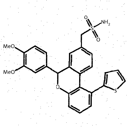 COc1ccc(C2Oc3cccc(-c4cccs4)c3-c3ccc(CS(N)(=O)=O)cc32)cc1OC